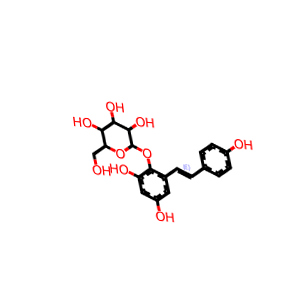 OCC1OC(Oc2c(O)cc(O)cc2/C=C/c2ccc(O)cc2)C(O)C(O)C1O